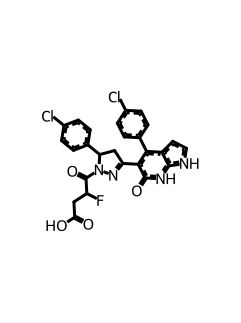 O=C(O)CC(F)C(=O)N1N=C(c2c(-c3ccc(Cl)cc3)c3cc[nH]c3[nH]c2=O)CC1c1ccc(Cl)cc1